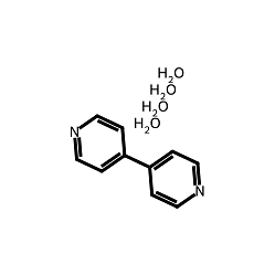 O.O.O.O.c1cc(-c2ccncc2)ccn1